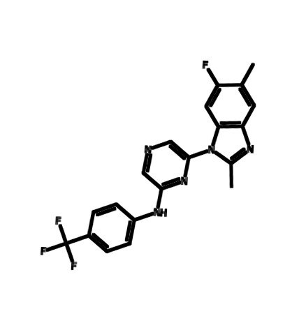 Cc1cc2nc(C)n(-c3cncc(Nc4ccc(C(F)(F)F)cc4)n3)c2cc1F